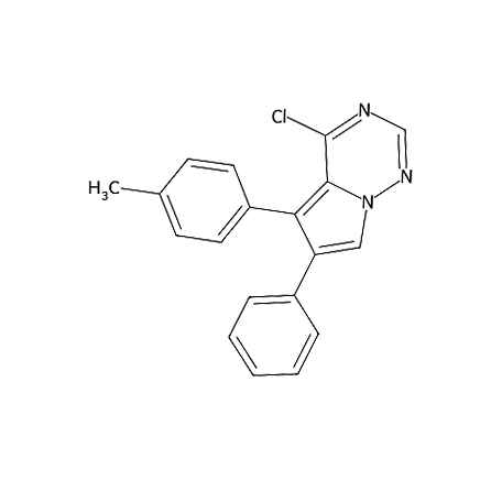 Cc1ccc(-c2c(-c3ccccc3)cn3ncnc(Cl)c23)cc1